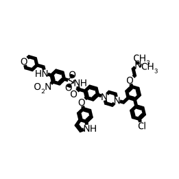 CN(C)CCOc1ccc(-c2ccc(Cl)cc2)c(CN2CCN(c3ccc(C(=O)NS(=O)(=O)c4ccc(NCC5CCOCC5)c([N+](=O)[O-])c4)c(Oc4ccc5[nH]ccc5c4)c3)CC2)c1